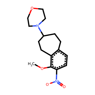 COc1c([N+](=O)[O-])ccc2c1CCC(N1CCOCC1)CC2